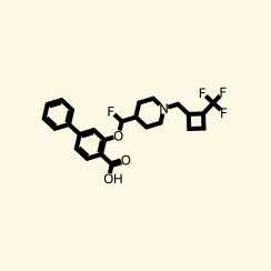 O=C(O)c1ccc(-c2ccccc2)cc1OC(F)C1CCN(CC2CCC2C(F)(F)F)CC1